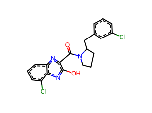 O=C(c1nc2cccc(Cl)c2nc1O)N1CCCC1Cc1cccc(Cl)c1